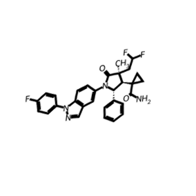 C[C@@]1(CC(F)F)C(=O)N(c2ccc3c(cnn3-c3ccc(F)cc3)c2)[C@@H](c2ccccc2)[C@@H]1C1(C(N)=O)CC1